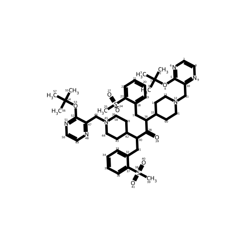 CC(C)(C)Oc1nccnc1CN1CCC(C(Cc2ccccc2S(C)(=O)=O)C(=O)C(Cc2ccccc2S(C)(=O)=O)C2CCN(Cc3nccnc3OC(C)(C)C)CC2)CC1